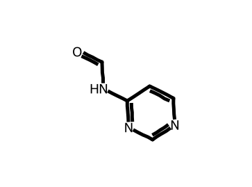 O=CNc1ccncn1